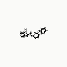 [O-][S+](Cc1nccc(Oc2ccccc2)n1)c1nc2cscc2[nH]1